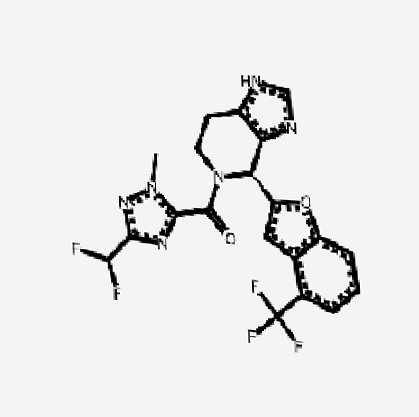 Cn1nc(C(F)F)nc1C(=O)N1CCc2[nH]cnc2[C@H]1c1cc2c(C(F)(F)F)cccc2o1